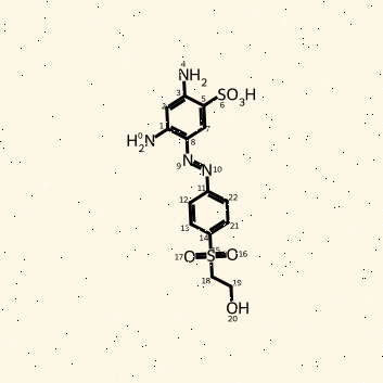 Nc1cc(N)c(S(=O)(=O)O)cc1/N=N/c1ccc(S(=O)(=O)CCO)cc1